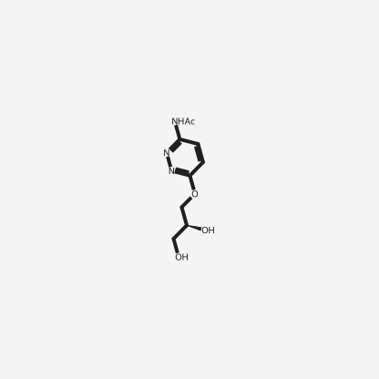 CC(=O)Nc1ccc(OC[C@@H](O)CO)nn1